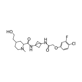 CN1CCC(CCO)CC1C(=O)NC12CC(NC(=O)COc3ccc(Cl)c(F)c3)(C1)C2